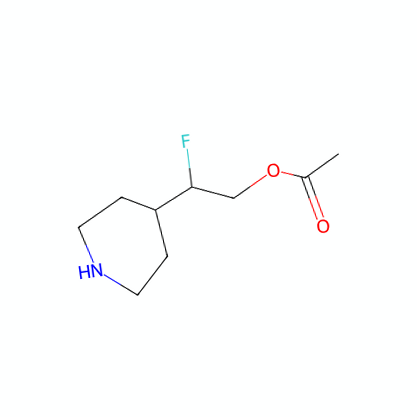 CC(=O)OCC(F)C1CCNCC1